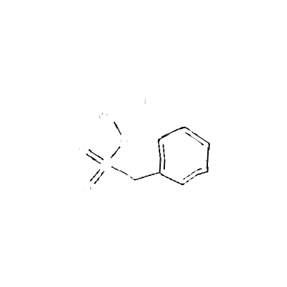 CC(C)OS(=O)(=O)Cc1ccccc1.[NaH]